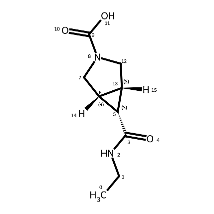 CCNC(=O)[C@@H]1[C@@H]2CN(C(=O)O)C[C@@H]21